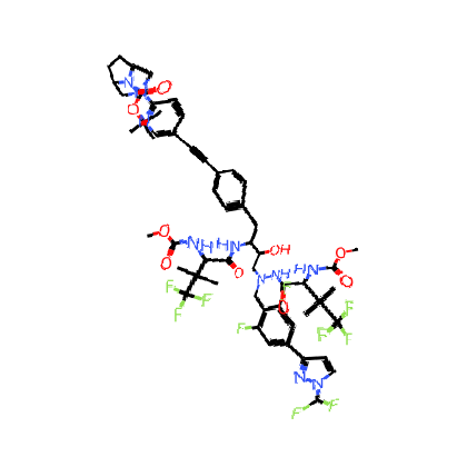 COC(=O)NC(C(=O)NC(Cc1ccc(C#Cc2ccc(N3CC4CCC(C3)N4C(=O)OC(C)(C)C)nc2)cc1)C(O)CN(Cc1c(F)cc(-c2ccn(C(F)F)n2)cc1F)NC(=O)C(NC(=O)OC)C(C)(C)C(F)(F)F)C(C)(C)C(F)(F)F